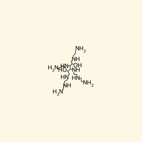 NCCCNCC(O)C(NCCCN)C(NCCNCCN)C(O)CNCCNCCN